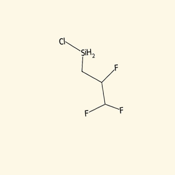 FC(F)C(F)C[SiH2]Cl